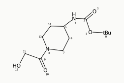 CC(C)(C)OC(=O)NC1CCN(C(=O)CO)CC1